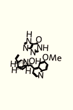 C=C[C@H]1C[N@]2CC[C@H]1C[C@H]2[C@H](O)c1ccnc2ccc(OC)cc12.O=c1[nH]cnc2nc[nH]c12